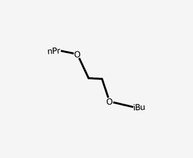 [CH2]CCOCCOC(C)CC